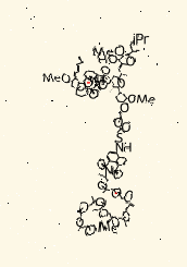 C=C/C=C/C=C(\C)[C@H](C[C@@H]1CC[C@@H](C)[C@](O)(C(=O)C(=O)N2CCCCC2C(=O)O[C@@H](CC(=O)[C@H](C)/C=C(\C)[C@@H](O)[C@@H](OC)C(=O)C(C)CC(C)C)[C@@H](C)C[C@@H]2CC[C@@H](OCCOC(=O)CSCNc3ccc4c5c(cccc35)C(=O)N(C(C)COC(C)COCCOC(C)COC(C)COC(C)COC(C)COC(C)COC(C)COC(C)COC)C4=O)[C@H](OC)C2)O1)OC